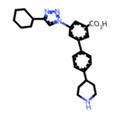 O=C(O)c1cc(-c2ccc(C3CCNCC3)cc2)cc(-n2cc(C3CCCCC3)nn2)c1